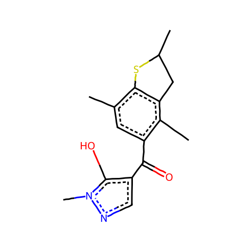 Cc1cc(C(=O)c2cnn(C)c2O)c(C)c2c1SC(C)C2